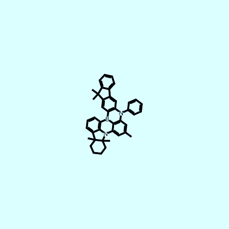 Cc1cc2c3c(c1)N1c4c(cccc4C4(C)CCCCC14C)B3c1cc3c(cc1N2c1ccccc1)-c1ccccc1C3(C)C